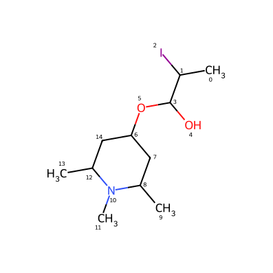 CC(I)C(O)OC1CC(C)N(C)C(C)C1